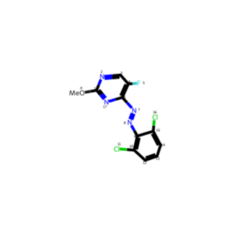 COc1ncc(F)c(/N=N/c2c(Cl)cccc2Cl)n1